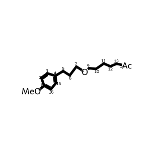 COc1ccc(CCCOCCCCCC(C)=O)cc1